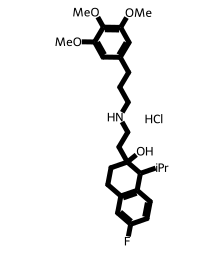 COc1cc(CCCNCCC2(O)CCc3cc(F)ccc3C2C(C)C)cc(OC)c1OC.Cl